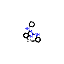 COc1cccc2c(NC3CCCCC3)nc(Nc3ccccc3)nc12